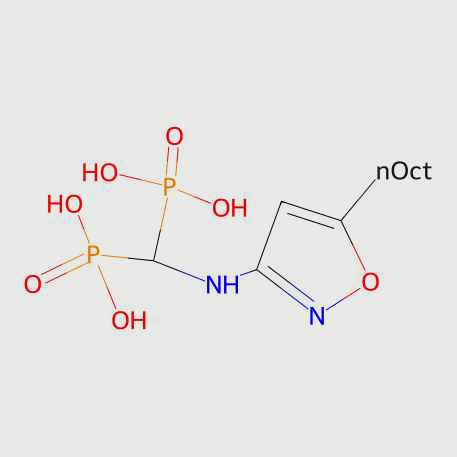 CCCCCCCCc1cc(NC(P(=O)(O)O)P(=O)(O)O)no1